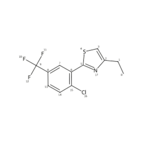 CCc1csc(-c2cc(C(F)(F)F)ccc2Cl)n1